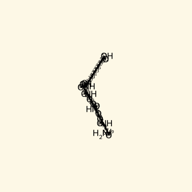 N[C@@H](CCCCNC(=O)COCCOCCNC(=O)COCCOCCNC(=O)CC[C@H](NC(=O)CCCCCCCCCCCCCCCCC(=O)O)C(=O)O)C(=O)I